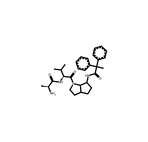 CC(C)[C@H](NC(=O)[C@H](C)N)C(=O)N1CCC2CCC(NC(=O)C(C)(c3ccccc3)c3ccccc3)C21